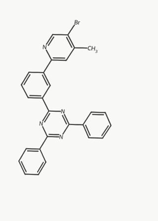 Cc1cc(-c2cccc(-c3nc(-c4ccccc4)nc(-c4ccccc4)n3)c2)ncc1Br